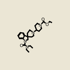 CCOC(=O)N1CCC(N2CCC3(CC2)CN(C(=O)N(CC)CC)c2ccccc23)CC1